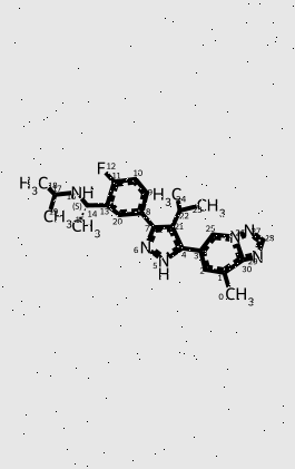 Cc1cc(-c2[nH]nc(-c3ccc(F)c([C@H](C)NC(C)C)c3)c2C(C)C)cn2ncnc12